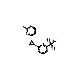 [2H]C([2H])([2H])c1ccnc([C@H]2C[C@@H]2c2ccnc(C)n2)n1